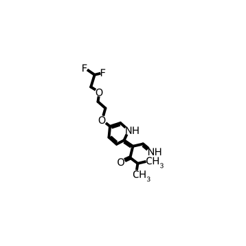 CC(C)C(=O)/C(C=N)=C1\C=CC(OCCOCC(F)F)=CN1